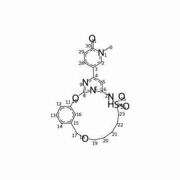 Cn1cc(-c2cc3nc(n2)Oc2cccc(c2)COCCCCCS(=O)(=O)N3)ccc1=O